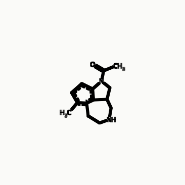 CC(=O)N1CC2CNCCc3c(C)ccc1c32